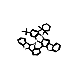 CC(C)(C)c1cc2c3c(c1)C1(C)CCCCC1(C)N3c1cc3c(sc4ccccc43)c3c1B2N1c2c-3cccc2C2Oc3ccccc3C21